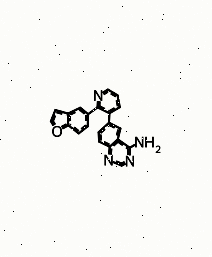 Nc1ncnc2ccc(-c3cccnc3-c3ccc4occc4c3)cc12